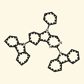 c1ccc(-n2c3ccc(-n4c5ccccc5c5ccccc54)cc3c3nc(-n4c5ccccc5c5ccccc54)ncc32)cc1